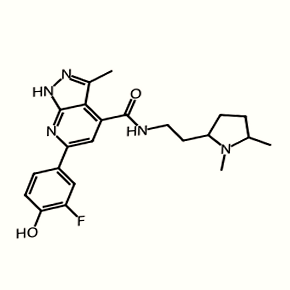 Cc1n[nH]c2nc(-c3ccc(O)c(F)c3)cc(C(=O)NCCC3CCC(C)N3C)c12